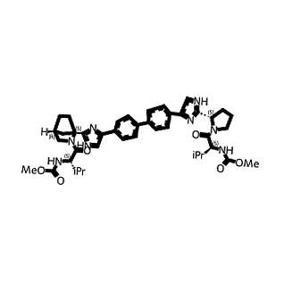 COC(=O)N[C@H](C(=O)N1CCC[C@H]1c1nc(-c2ccc(-c3ccc(-c4c[nH]c([C@@]56CC[C@@H](CN5C(=O)[C@@H](NC(=O)OC)C(C)C)C6)n4)cc3)cc2)c[nH]1)C(C)C